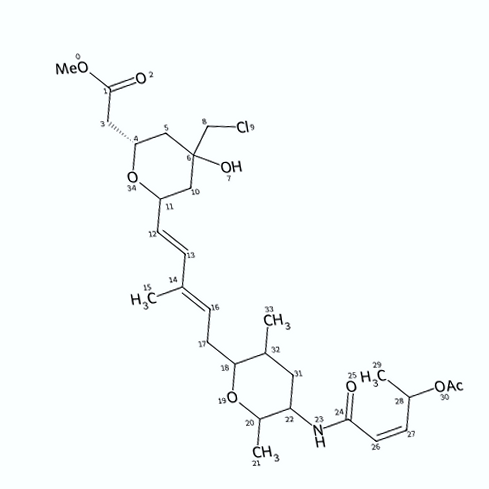 COC(=O)C[C@@H]1CC(O)(CCl)CC(/C=C/C(C)=C/CC2OC(C)C(NC(=O)/C=C\C(C)OC(C)=O)CC2C)O1